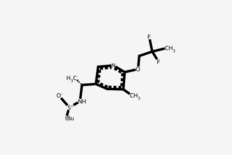 Cc1cc([C@@H](C)N[S+]([O-])C(C)(C)C)cnc1OCC(C)(F)F